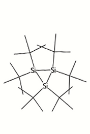 CC(C)(C)[Si]1(C(C)(C)C)[Si](C(C)(C)C)(C(C)(C)C)[Si]1(C(C)(C)C)C(C)(C)C